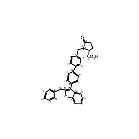 O=C(O)C1CCC(=O)N1Cc1ccc(-c2ccc(-c3c(Cc4ccccc4)oc4ccccc34)cc2)cc1